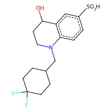 O=S(=O)(O)c1ccc2c(c1)C(O)CCN2CC1CCC(F)(F)CC1